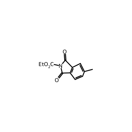 CCOC(=O)N1C(=O)c2ccc(C)cc2C1=O